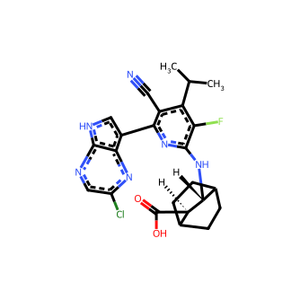 CC(C)c1c(F)c(N[C@@H]2C3CCC(CC3)[C@H]2C(=O)O)nc(-c2c[nH]c3ncc(Cl)nc23)c1C#N